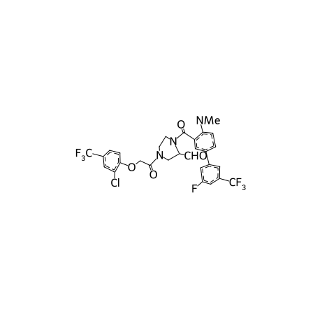 CNc1ccc(-c2cc(F)cc(C(F)(F)F)c2)cc1C(=O)N1CCN(C(=O)COc2ccc(C(F)(F)F)cc2Cl)CC1C=O